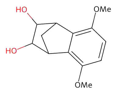 COc1ccc(OC)c2c1C1CC2C(O)C1O